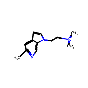 Cc1cc2ccn(CCN(C)C)c2cn1